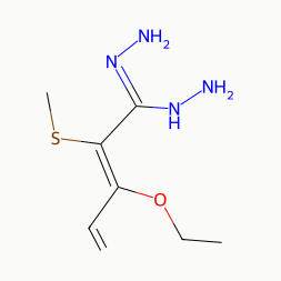 C=C/C(OCC)=C(SC)/C(=N/N)NN